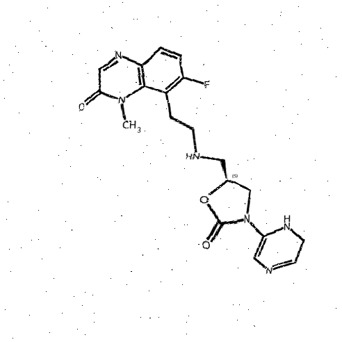 Cn1c(=O)cnc2ccc(F)c(CCNC[C@H]3CN(C4=CN=CCN4)C(=O)O3)c21